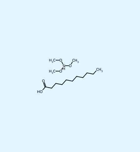 CCCCCCCCCCC(=O)O.CO[SiH](OC)OC